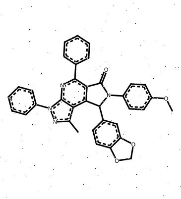 COc1ccc(N2C(=O)c3c(-c4ccccc4)nc4c(c(C)nn4-c4ccccc4)c3C2c2ccc3c(c2)OCO3)cc1